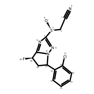 N#CC[S@+]([O-])c1nc2n(n1)C(c1ccccc1Cl)C[C@H]2F